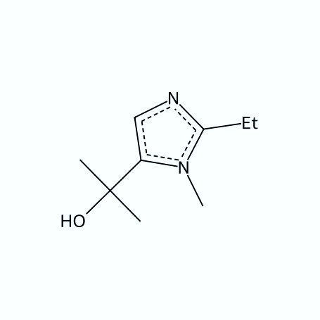 CCc1ncc(C(C)(C)O)n1C